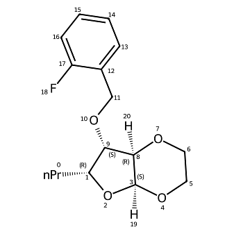 CCC[C@H]1O[C@@H]2OCCO[C@@H]2[C@H]1OCc1ccccc1F